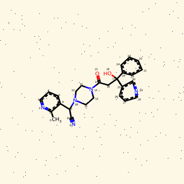 Cc1ncccc1C(C#N)N1CCN(C(=O)CC(O)(c2ccccc2)c2cccnc2)CC1